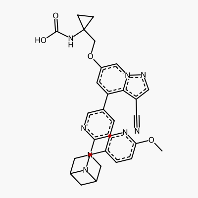 COc1ccc(CN2C3CC2CN(c2ccc(-c4cc(OCC5(NC(=O)O)CC5)cn5ncc(C#N)c45)cn2)C3)cn1